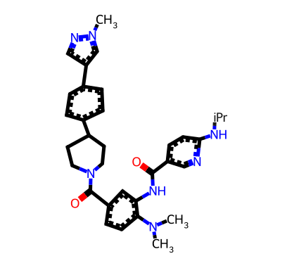 CC(C)Nc1ccc(C(=O)Nc2cc(C(=O)N3CCC(c4ccc(-c5cnn(C)c5)cc4)CC3)ccc2N(C)C)cn1